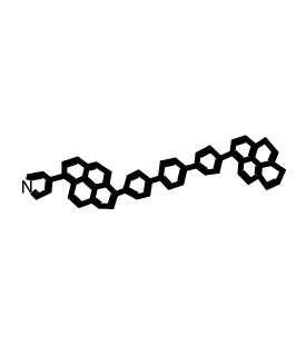 C1=Cc2ccc3c(-c4ccc(-c5ccc(-c6ccc(-c7ccc8ccc9c(-c%10ccncc%10)ccc%10ccc7c8c%109)cc6)cc5)cc4)ccc4c3c2C(=CC4)C1